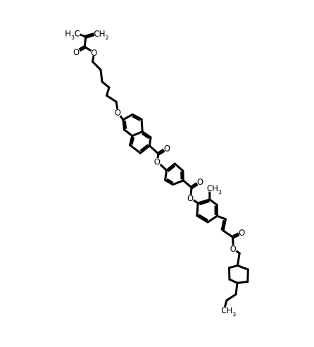 C=C(C)C(=O)OCCCCCCOc1ccc2cc(C(=O)Oc3ccc(C(=O)Oc4ccc(/C=C/C(=O)OCC5CCC(CCC)CC5)cc4C)cc3)ccc2c1